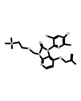 C=C(C)COc1ccnc2c1n(-c1nc(F)c(Cl)cc1F)c(=O)n2COCC[Si](C)(C)C